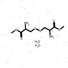 COC(=O)C(N)CSSCC(N)C(=O)OC.O.O